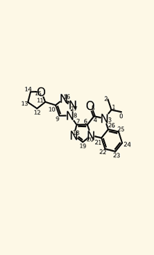 CC(C)n1c(=O)c2c(-n3cc(C4CCCO4)nn3)ncn2c2ccccc21